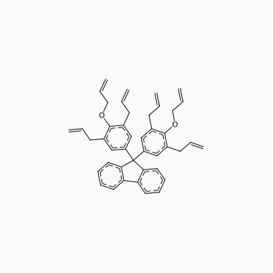 C=CCOc1c(CC=C)cc(C2(c3cc(CC=C)c(OCC=C)c(CC=C)c3)c3ccccc3-c3ccccc32)cc1CC=C